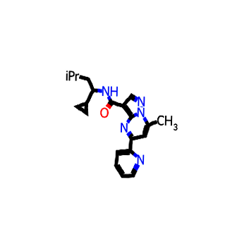 Cc1cc(-c2ccccn2)nc2c(C(=O)NC(CC(C)C)C3CC3)cnn12